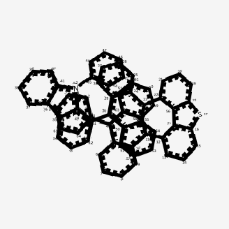 c1ccc(-c2c3ccccc3c(-c3cccc4sc5cccc(-c6c7ccccc7c(-c7cccc8c9ccccc9n(-c9ccccc9)c78)c7ccccc67)c5c34)c3ccccc23)cc1